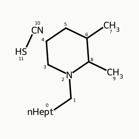 CCCCCCCCN1CCCC(C)C1C.N#CS